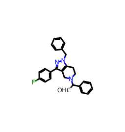 O=CC(c1ccccc1)N1CCc2c(c(-c3ccc(F)cc3)nn2Cc2ccccc2)C1